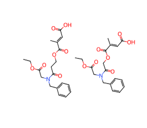 CCOC(=O)CN(Cc1ccccc1)C(=O)CCOC(=O)/C(C)=C/C(=O)O.CCOC(=O)CN(Cc1ccccc1)C(=O)COC(=O)C(C)=CC(=O)O